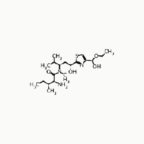 CCOC(O)c1csc([C@H](O)C[C@H](C(C)C)N(C)C(=O)[C@@H](N)[C@@H](C)CC)n1